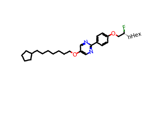 CCCCCC[C@@H](F)COc1ccc(-c2ncc(OCCCCCCCC3CCCC3)cn2)cc1